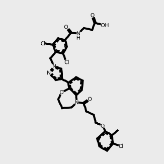 Cc1c(Cl)cccc1OCCCC(=O)N1CCCOc2c(-c3cnn(Cc4c(Cl)cc(C(=O)NCCC(=O)O)cc4Cl)c3)cccc21